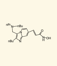 CCCCc1nc2cc(C=CC(=O)NO)ccn2c1CN(CCC)CCCC